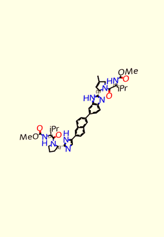 COC(=O)N[C@H](C(=O)N1CC(C)=C[C@H]1c1nc2ccc(-c3ccc4cc(-c5cnc([C@@H]6CCCN6C(=O)[C@@H](NC(=O)OC)C(C)C)[nH]5)ccc4c3)cc2[nH]1)C(C)C